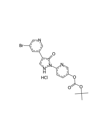 CC(C)(C)OC(=O)Oc1ccc(-n2[nH]cc(-c3cncc(Br)c3)c2=O)nc1.Cl